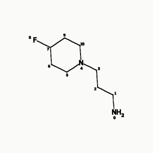 NCCCN1CCC(F)CC1